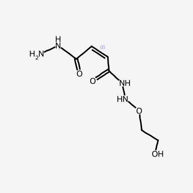 NNC(=O)/C=C\C(=O)NNOCCO